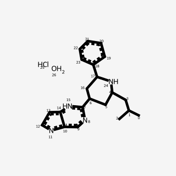 CC(C)CC1CC(c2ncc3nccc-3[nH]2)CC(c2ccccc2)N1.Cl.O